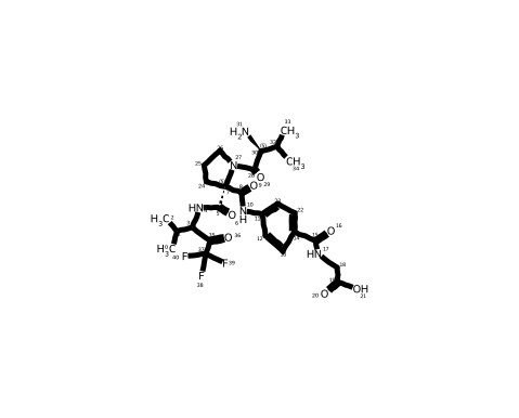 CC(C)C(NC(=O)[C@]1(C(=O)Nc2ccc(C(=O)NCC(=O)O)cc2)CCCN1C(=O)[C@@H](N)C(C)C)C(=O)C(F)(F)F